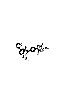 CC(C)(C)OC(=O)NC(C(N)=O)c1ccc(C(=O)Nc2cc(-c3cccs3)ccc2OC(N)=O)cc1